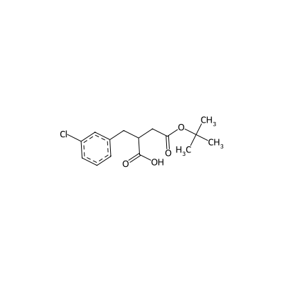 CC(C)(C)OC(=O)CC(Cc1cccc(Cl)c1)C(=O)O